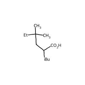 CCC(C)C(CC(C)(C)CC)C(=O)O